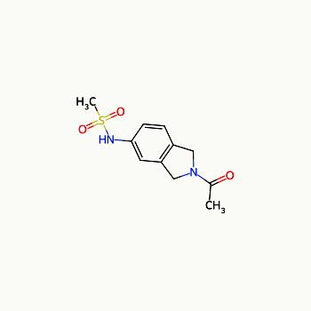 CC(=O)N1Cc2ccc(NS(C)(=O)=O)cc2C1